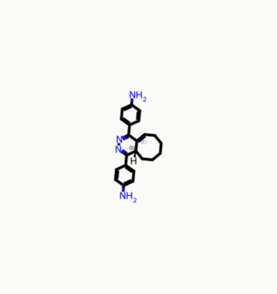 Nc1ccc(C2=NN=C(c3ccc(N)cc3)[C@H]3CCCCC/C=C/23)cc1